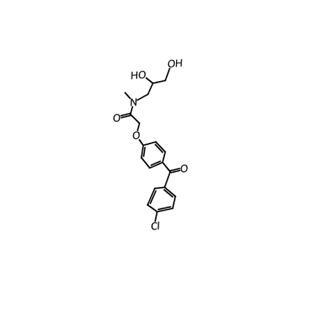 CN(CC(O)CO)C(=O)COc1ccc(C(=O)c2ccc(Cl)cc2)cc1